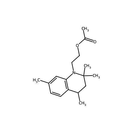 CC(=O)OCCN1c2cc(C)ccc2C(C)CC1(C)C